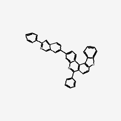 c1ccc(-c2cc3ccc(-c4ccc5c(c4)nc(-c4ccccc4)c4ccc6sc7ccccc7c6c45)cc3cn2)cc1